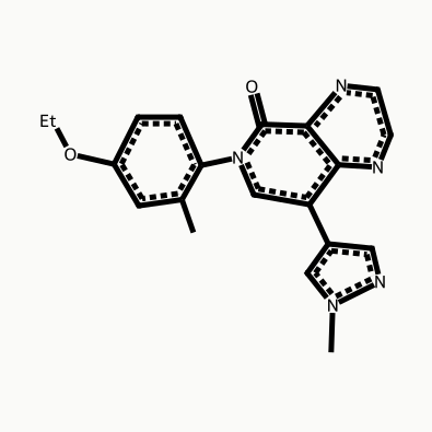 CCOc1ccc(-n2cc(-c3cnn(C)c3)c3nccnc3c2=O)c(C)c1